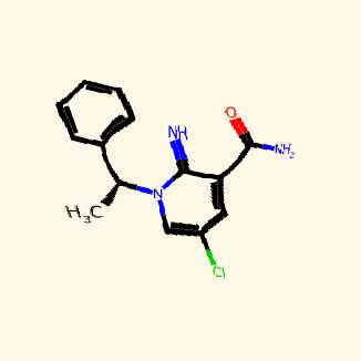 C[C@@H](c1ccccc1)n1cc(Cl)cc(C(N)=O)c1=N